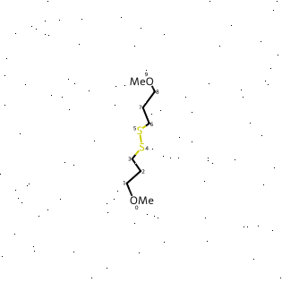 COCCCSSCCCOC